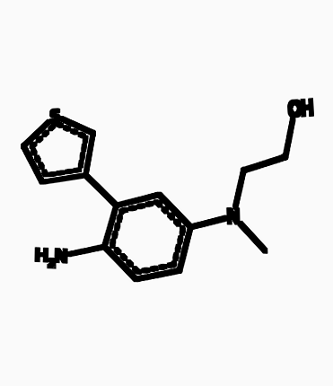 CN(CCO)c1ccc(N)c(-c2ccsc2)c1